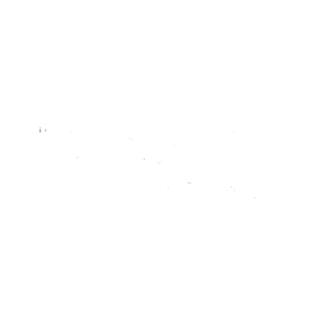 CCC(C)c1ccc(NC(=O)c2ccc(-c3ncccc3Cl)c(F)c2)cc1